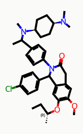 CC[C@@H](C)Oc1cc2c(cc1OC)CC(=O)N(c1ccc(C(C)N(C)[C@H]3CC[C@@H](N(C)C)CC3)cc1)C2c1ccc(Cl)cc1